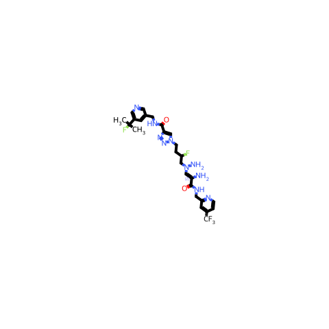 CC(C)(F)c1cncc(CNC(=O)c2cn(CCC(F)CN(N)/C=C(\N)C(=O)NCc3cc(C(F)(F)F)ccn3)nn2)c1